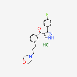 Cl.O=C(c1cccc(CCCN2CCOCC2)c1)c1c[nH]nc1-c1ccc(F)cc1